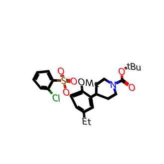 CCc1cc(OS(=O)(=O)c2ccccc2Cl)c(OC)c(C2CCN(C(=O)OC(C)(C)C)CC2)c1